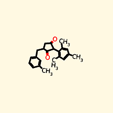 Cc1cccc(CC2CC(=O)C(c3c(C)cc(C)cc3C)C2=O)c1